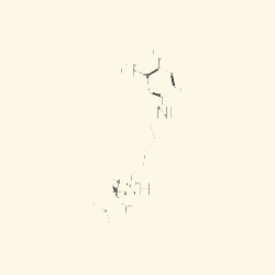 COc1ccc(NCCCCCNS(=O)(=O)C(C)C)cc1Cl